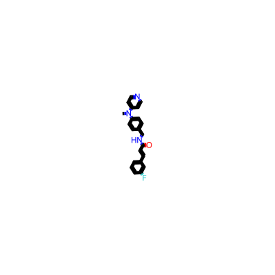 CN(c1ccncc1)c1ccc(CNC(=O)C=Cc2cccc(F)c2)cc1